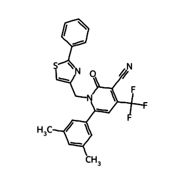 Cc1cc(C)cc(-c2cc(C(F)(F)F)c(C#N)c(=O)n2Cc2csc(-c3ccccc3)n2)c1